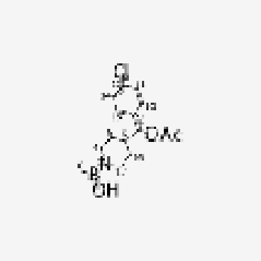 CB(O)N1CCC(C(OC(C)=O)c2ccc(Cl)cc2)CC1